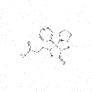 NC(=O)CCC1OC(=O)N(F)C1(c1ccccc1)N1CCSC1